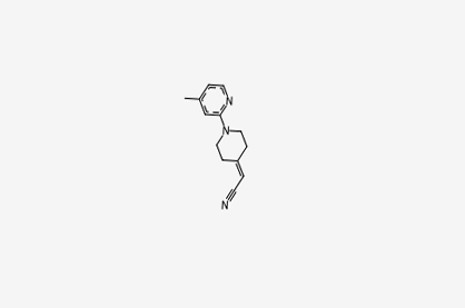 Cc1ccnc(N2CCC(=CC#N)CC2)c1